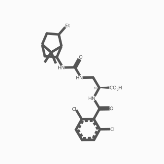 CCC1CC2CC(NC(=O)NC[C@H](NC(=O)c3c(Cl)cccc3Cl)C(=O)O)C1C2(C)C